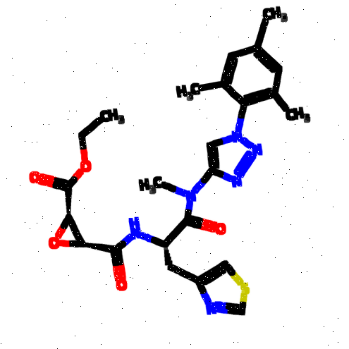 CCOC(=O)[C@H]1O[C@@H]1C(=O)N[C@@H](Cc1cscn1)C(=O)N(C)c1cn(-c2c(C)cc(C)cc2C)nn1